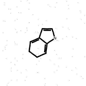 C1=CC2=CCCC=C2[N]1